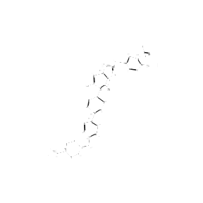 Cc1ccc(Oc2nc3c(F)c(-c4ccc(-c5ccc(CN6CCC(CN)CC6)cc5)cc4)c(F)cc3[nH]2)cc1C(=O)O